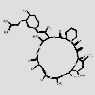 CCC1/C=C(\C)CC(C)CC(OC)C2OC(O)(C(=O)C(=O)N3CCCCC3C(=O)OC(C(C)=CC3CCC(N)C(OC=C(C)C)C3)C(C)CCC1=O)C(C)CC2OC